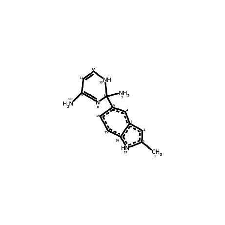 Cc1cc2cc(C3(N)N=C(N)C=CN3)ccc2[nH]1